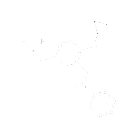 FC(F)(F)Oc1ccc(OC2CC2)c(CNc2[c]cccc2)c1